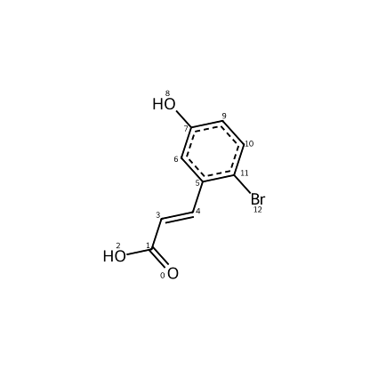 O=C(O)C=Cc1cc(O)ccc1Br